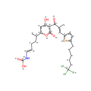 CC(=Cc1ccc(CCCCCC(F)(F)F)s1)C(=O)c1c(O)cc(C(C)CC/C=C/NC(=O)O)oc1=O